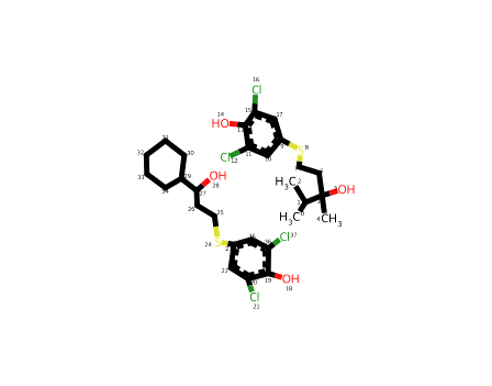 CC(C)C(C)(O)CCSc1cc(Cl)c(O)c(Cl)c1.Oc1c(Cl)cc(SCCC(O)C2CCCCC2)cc1Cl